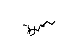 CCCCCCC(C)(CC)C(=O)OC